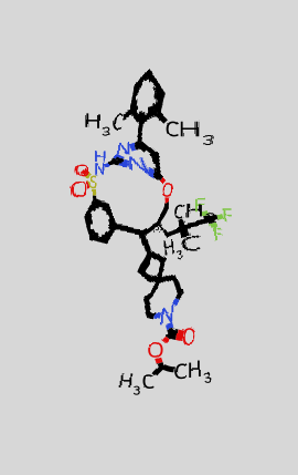 Cc1cccc(C)c1-c1cc2nc(n1)NS(=O)(=O)c1cccc(c1)C(C1CC3(CCN(C(=O)OC(C)C)CC3)C1)[C@H](CC(C)(C)C(F)(F)F)CO2